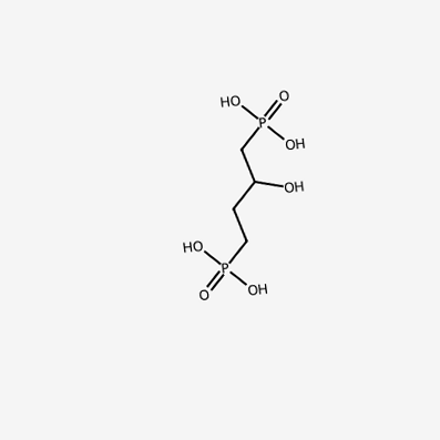 O=P(O)(O)CCC(O)CP(=O)(O)O